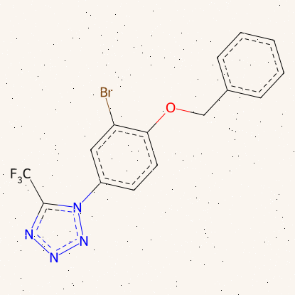 FC(F)(F)c1nnnn1-c1ccc(OCc2ccccc2)c(Br)c1